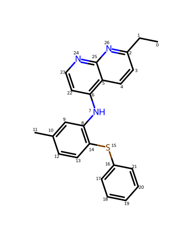 CCc1ccc2c(Nc3cc(C)ccc3Sc3ccccc3)ccnc2n1